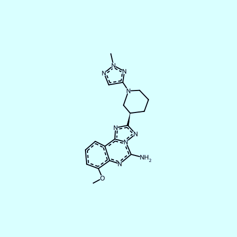 COc1cccc2c1nc(N)n1nc([C@@H]3CCCN(c4cnn(C)n4)C3)nc21